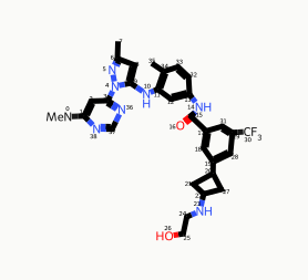 CNc1cc(-n2nc(C)cc2Nc2cc(NC(=O)c3cc(C4CC(NCCO)C4)cc(C(F)(F)F)c3)ccc2C)ncn1